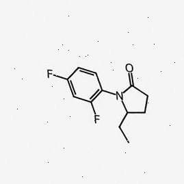 CCC1CCC(=O)N1c1ccc(F)cc1F